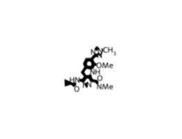 CNC(=O)c1nnc(NC(=O)C2CC2)c2c1Nc1c(ccc(-c3ncn(C)n3)c1OC)C2